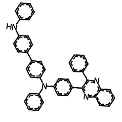 c1ccc(Nc2ccc(-c3ccc(N(c4ccccc4)c4ccc(-c5nc6ccccc6nc5-c5ccccc5)cc4)cc3)cc2)cc1